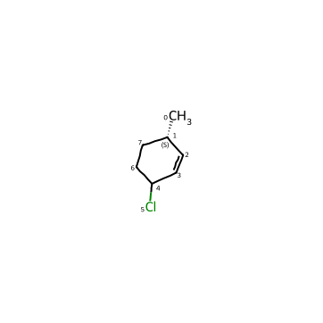 C[C@@H]1C=CC(Cl)CC1